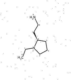 CCN1CCC[C@@H]1CCN